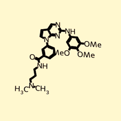 COc1cc(Nc2ncc3ccn(-c4cccc(C(=O)NCCCN(C)C)c4)c3n2)cc(OC)c1OC